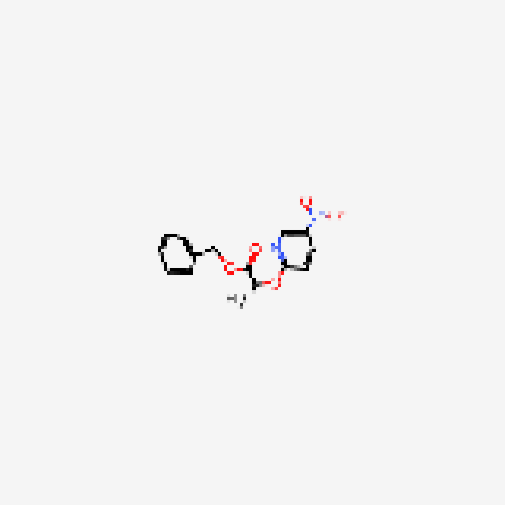 CC(Oc1ccc([N+](=O)[O-])cn1)C(=O)OCc1ccccc1